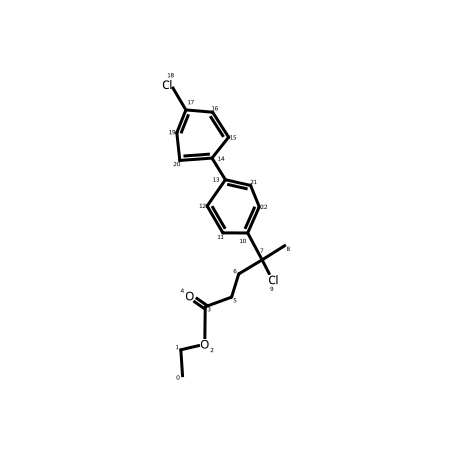 CCOC(=O)CCC(C)(Cl)c1ccc(-c2ccc(Cl)cc2)cc1